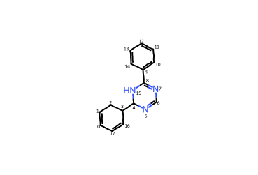 C1=CCC(C2N=CN=C(c3ccccc3)N2)C=C1